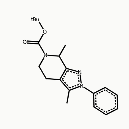 Cc1c2c(nn1-c1ccccc1)C(C)N(C(=O)OC(C)(C)C)CC2